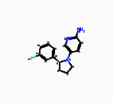 Nc1ccc(N2CCC[C@H]2c2cccc(F)c2)cn1